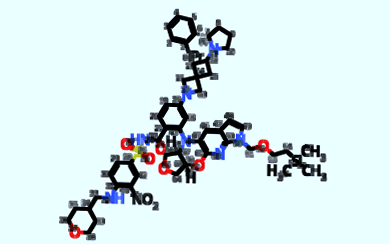 CC(C)c1ccccc1[C@@H]1CCCN1C1CC2(C1)CN(c1ccc(C(=O)NS(=O)(=O)c3ccc(NCC4CCOCC4)c([N+](=O)[O-])c3)c(N3c4cc5ccn(COCC[Si](C)(C)C)c5nc4O[C@@H]4COC[C@H]43)c1)C2